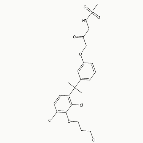 CC(C)(c1cccc(OCC(=O)CNS(C)(=O)=O)c1)c1ccc(Cl)c(OCCCCl)c1Cl